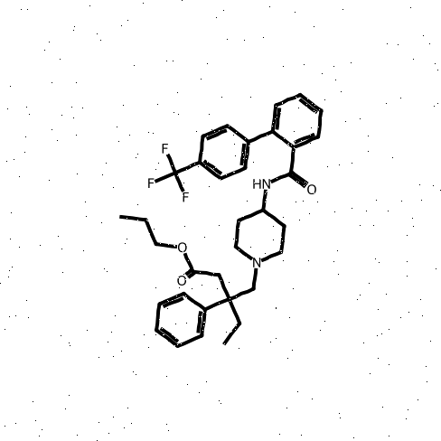 CCCOC(=O)CC(CC)(CN1CCC(NC(=O)c2ccccc2-c2ccc(C(F)(F)F)cc2)CC1)c1ccccc1